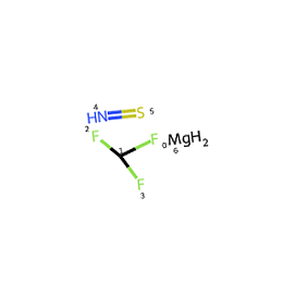 FC(F)F.N=S.[MgH2]